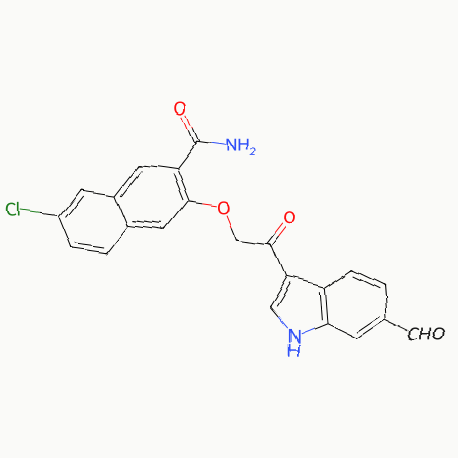 NC(=O)c1cc2cc(Cl)ccc2cc1OCC(=O)c1c[nH]c2cc(C=O)ccc12